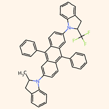 CC1Cc2ccccc2N1c1ccc2c(-c3ccccc3)c3cc(N4c5ccccc5CC4C(F)(F)F)ccc3c(-c3ccccc3)c2c1